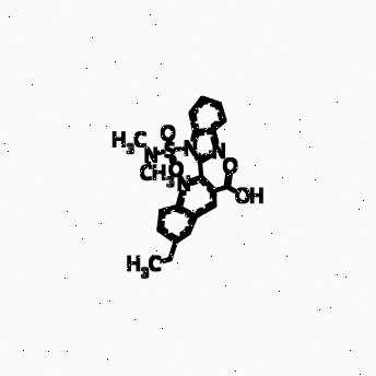 CCc1ccc2nc(-c3nc4ccccc4n3S(=O)(=O)N(C)C)c(C(=O)O)cc2c1